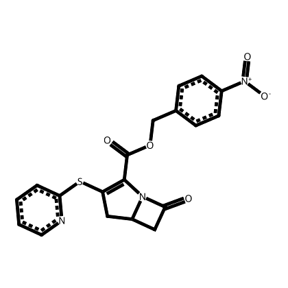 O=C(OCc1ccc([N+](=O)[O-])cc1)C1=C(Sc2ccccn2)CC2CC(=O)N12